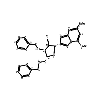 CSc1nc(SC)n2cc([C@@H]3O[C@H](COCc4ccccc4)[C@@H](OCc4ccccc4)[C@H]3F)nc2n1